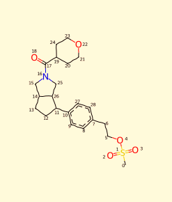 CS(=O)(=O)OCCc1ccc(C2CCC3CN(C(=O)C4CCOCC4)CC32)cc1